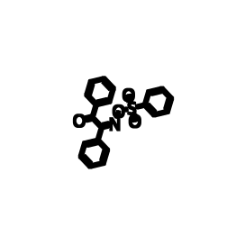 O=C(C(=NOS(=O)(=O)c1ccccc1)c1ccccc1)c1ccccc1